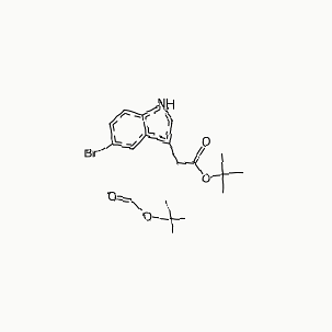 CC(C)(C)OC(=O)Cc1c[nH]c2ccc(Br)cc12.CC(C)(C)OC=O